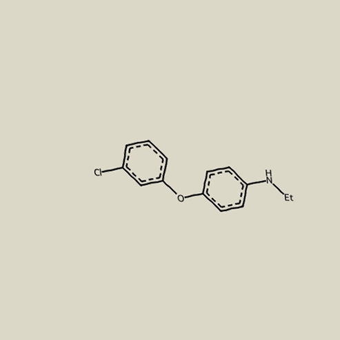 CCNc1ccc(Oc2cccc(Cl)c2)cc1